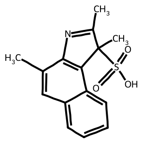 CC1=Nc2c(C)cc3ccccc3c2C1(C)S(=O)(=O)O